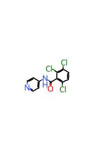 O=C(Nc1ccncc1)c1c(Cl)ccc(Cl)c1Cl